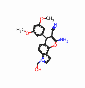 COc1cc(OC)cc(C2C(C#N)=C(N)Oc3c2ccc2c3ccn2CO)c1